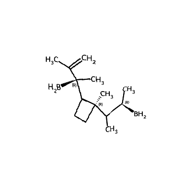 B[C@H](C)C(C)[C@@]1(C)CCC1[C@@](B)(C)C(=C)C